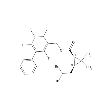 CC1(C)[C@H](C(=O)OCc2c(F)c(F)c(F)c(-c3ccccc3)c2F)[C@@H]1C=C(Br)Br